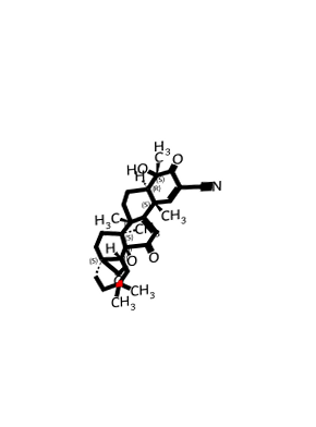 CC1(C)CC[C@@]23CC[C@@]4(C)[C@]5(C)CC[C@H]6[C@](C)(O)C(=O)C(C#N)=C[C@]6(C)C5=CC(=O)[C@]4(OC2=O)[C@@H]3C1